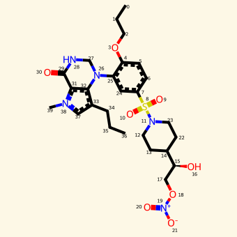 CCCOc1ccc(S(=O)(=O)N2CCC([C@@H](O)CO[N+](=O)[O-])CC2)cc1N1CNC(=O)c2c1c(CCC)cn2C